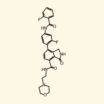 O=C(Nc1ccc(-c2ccc(C(=O)NCCN3CCOCC3)c3c2CNC3=O)c(F)c1)c1ccccc1F